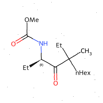 CCCCCCC(C)(CC)C(=O)[C@@H](CC)NC(=O)OC